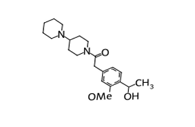 COc1cc(CC(=O)N2CCC(N3CCCCC3)CC2)ccc1C(C)O